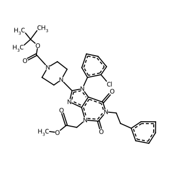 COC(=O)Cn1c(=O)n(CCc2ccccc2)c(=O)c2c1nc(N1CCN(C(=O)OC(C)(C)C)CC1)n2-c1ccccc1Cl